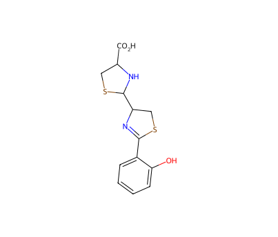 O=C(O)C1CSC(C2CSC(c3ccccc3O)=N2)N1